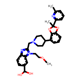 COCCn1c(CN2CCC(c3cccc4c3OC(C)(c3cccc(C)n3)O4)CC2)nc2ccc(C(O)O)cc21